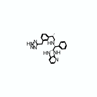 C[C@H](CN[C@H](c1ccccc1)[C@H]1CNc2cccnc2N1)c1cccc(Cc2nn[nH]n2)c1